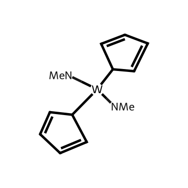 C[NH][W]([NH]C)([CH]1C=CC=C1)[CH]1C=CC=C1